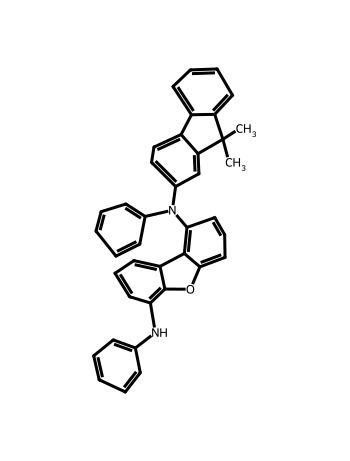 CC1(C)c2ccccc2-c2ccc(N(c3ccccc3)c3cccc4oc5c(Nc6ccccc6)cccc5c34)cc21